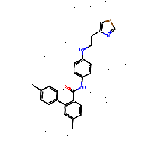 Cc1ccc(-c2cc(C)ccc2C(=O)Nc2ccc(NCCc3cscn3)cc2)cc1